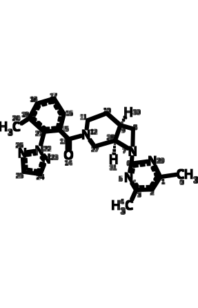 Cc1cc(C)nc(N2C[C@@H]3CCN(C(=O)c4cccc(C)c4-n4nccn4)C[C@@H]32)n1